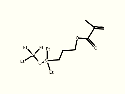 C=C(C)C(=O)OCCC[Si](CC)(CC)O[Si](CC)(CC)CC